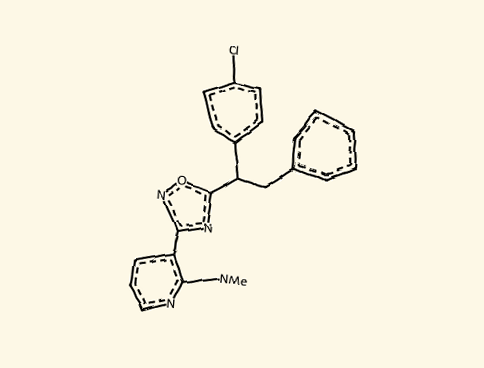 CNc1ncccc1-c1noc(C(Cc2ccccc2)c2ccc(Cl)cc2)n1